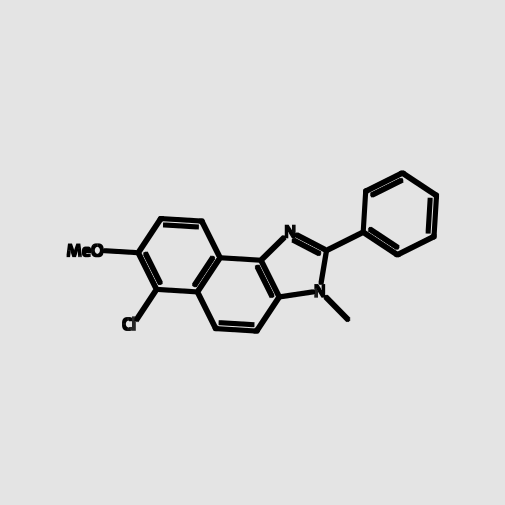 COc1ccc2c(ccc3c2nc(-c2ccccc2)n3C)c1Cl